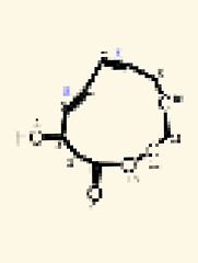 O=C1CC(O)/C=C/C=C\CCCCO1